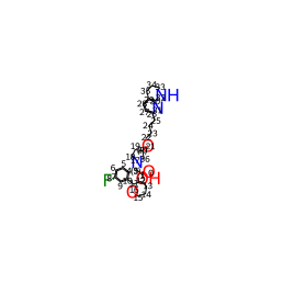 O=C(O)[C@H](c1ccc(F)cc1C1CCCCO1)N1CC[C@@H](OCCCCc2ccc3c(n2)NCCC3)C1